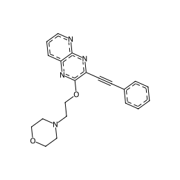 C(#Cc1nc2ncccc2nc1OCCN1CCOCC1)c1ccccc1